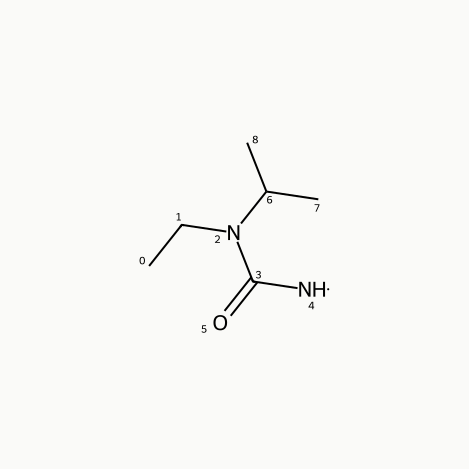 CCN(C([NH])=O)C(C)C